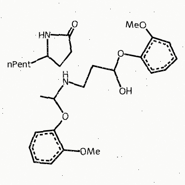 CCCCCC1CCC(=O)N1.COc1ccccc1OC(O)CCNC(C)Oc1ccccc1OC